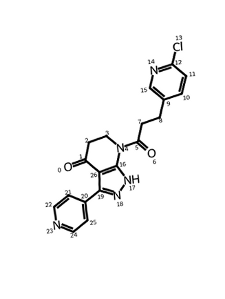 O=C1CCN(C(=O)CCc2ccc(Cl)nc2)c2[nH]nc(-c3ccncc3)c21